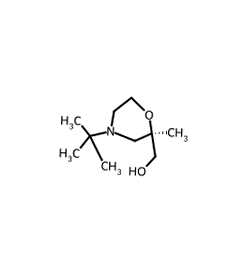 CC(C)(C)N1CCO[C@@](C)(CO)C1